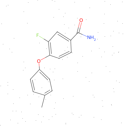 Cc1ccc(Oc2ccc(C(N)=O)cc2F)cc1